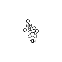 c1ccc(-c2nc(-c3ccccc3)nc(-c3ccccc3-c3ccccc3-n3c4ccccc4c4ccc5c6nccnc6c6ccccc6c5c43)n2)cc1